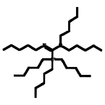 CCCCCN=C(N(CCCCC)CCCCC)[N+](CCCCC)(CCCCC)CCCCC